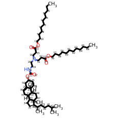 CCCCCCCCCCCCOC(=O)CCN(CCNC(=O)O[C@H]1CC[C@@]2(C)C(=CC[C@H]3C4CC[C@H]([C@H](C)CCCC(C)C)[C@@]4(C)CC[C@@H]32)C1)CCC(=O)OCCCCCCCCCCCC